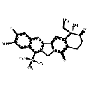 CC[C@@]1(O)C(=O)OCc2c1cc1n(c2=O)Cc2c-1nc1cc(F)c(N)cc1c2[Si](C)(C)C